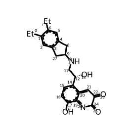 CCc1cc2c(cc1CC)CC(NC[C@H](O)c1ccc(O)c3c1=CC(=O)C(=O)N=3)C2